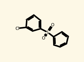 O=S(=O)(c1ccccc1)c1cc[c]c(Cl)c1